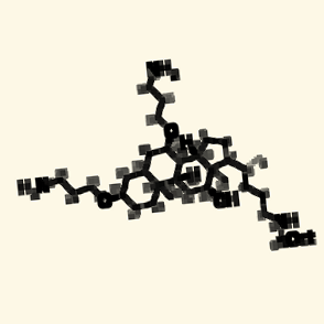 CCCCCCCCNCCC[C@@H](C)C1CC[C@H]2C3[C@H](OCCCN)CC4C[C@H](OCCCN)CCC4(C)[C@H]3C[C@H](O)C12C